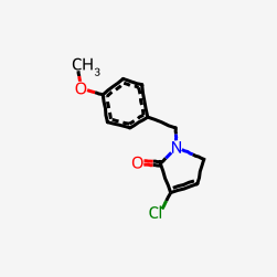 COc1ccc(CN2CC=C(Cl)C2=O)cc1